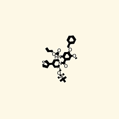 C=CCOC(=O)Nc1cc(OCc2ccccc2)c(OC)cc1C(=O)N1CC=C(c2ccsc2)C[C@H]1CO[Si](C)(C)C(C)(C)C